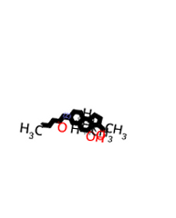 CCCCC(=O)/C=C1/CC[C@@H]2[C@@H](C1)C[C@@H](O)[C@]1(C)C(C(C)=O)CC[C@@H]21